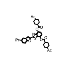 CC(=O)C1CCC(C(=O)Oc2ccc(OC(=O)C3CCC(C(C)=O)CC3)c3sc(-c4cc5cc(C(C)C)ccc5o4)nc23)CC1